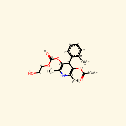 COC(=O)OC1=C(C)NC(C)=C(OC(=O)OCCO)C1c1ccccc1OC